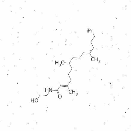 CC(=CC(=O)NCCO)CCCC(C)CCCC(C)CCCC(C)C